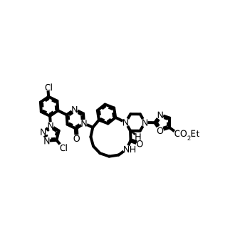 CCOC(=O)c1cnc(N2CCN3c4cccc(c4)C(n4cnc(-c5cc(Cl)ccc5-n5cc(Cl)nn5)cc4=O)CCCCCNC(=O)[C@H]3C2)o1